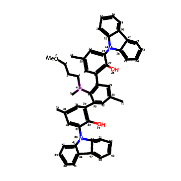 COCCCP(C)c1c(-c2cc(C)cc(-n3c4ccccc4c4ccccc43)c2O)cc(C)cc1-c1cc(C)cc(-n2c3ccccc3c3ccccc32)c1O